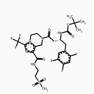 CC(C)(C)OC(=O)N[C@@H](CC(=O)N1CCn2c(C(F)(F)F)nc(C(=O)NCCS(C)(=O)=O)c2C1)Cc1cc(F)c(F)cc1F